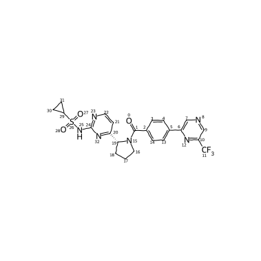 O=C(c1ccc(-c2cncc(C(F)(F)F)n2)cc1)N1CCC[C@@H]1c1ccnc(NS(=O)(=O)C2CC2)n1